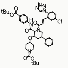 CC(C)(C)OC(=O)c1ccc(NC(=O)C2C(OC3CCN(C(=O)OC(C)(C)C)CC3)CC(c3ccccc3)CN2C(=O)C=Cc2cc(Cl)ccc2-n2cnnn2)cc1